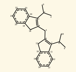 CC(C)C1=C(CC2=C(C(C)C)c3ccccc3[CH]2)[CH]c2ccccc21